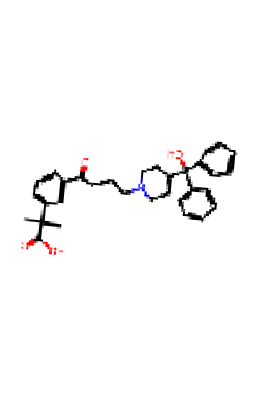 CC(C)(C(=O)O)c1cccc(C(=O)CCCN2CCC(C(O)(c3ccccc3)c3ccccc3)CC2)c1